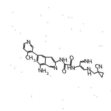 Cc1ccncc1-c1cc(N)c2cnc(NC(=O)C(=O)N/C(C=N)=C/NCC3(C#N)CC3)cc2c1